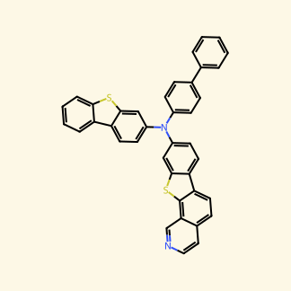 c1ccc(-c2ccc(N(c3ccc4c(c3)sc3ccccc34)c3ccc4c(c3)sc3c5cnccc5ccc43)cc2)cc1